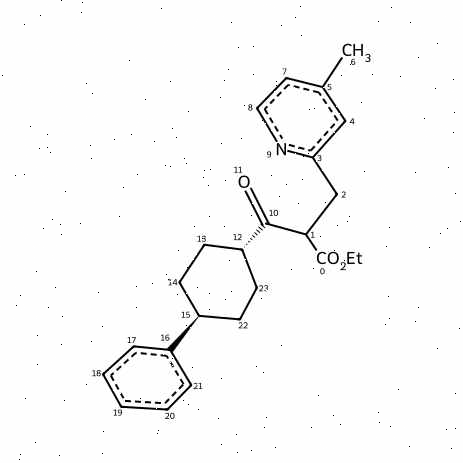 CCOC(=O)C(Cc1cc(C)ccn1)C(=O)[C@H]1CC[C@H](c2ccccc2)CC1